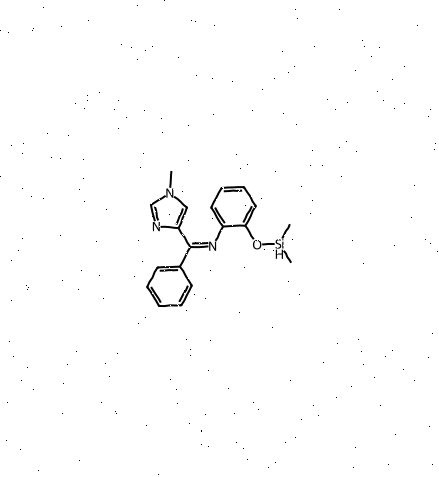 Cn1cnc(C(=Nc2ccccc2O[SiH](C)C)c2ccccc2)c1